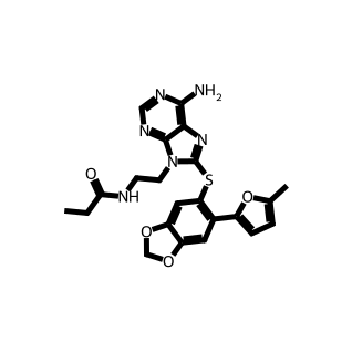 CCC(=O)NCCn1c(Sc2cc3c(cc2-c2ccc(C)o2)OCO3)nc2c(N)ncnc21